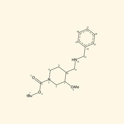 COC1CN(C(=O)OC(C)(C)C)CCC1CNCc1ccccc1